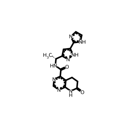 C[C@@H](NC(=O)c1ncnc2c1CCC(=O)N2)c1cc(-c2ncc[nH]2)[nH]n1